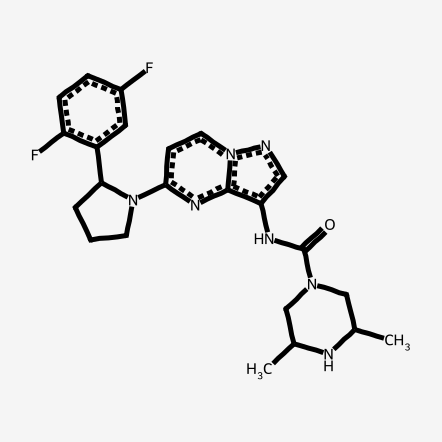 CC1CN(C(=O)Nc2cnn3ccc(N4CCCC4c4cc(F)ccc4F)nc23)CC(C)N1